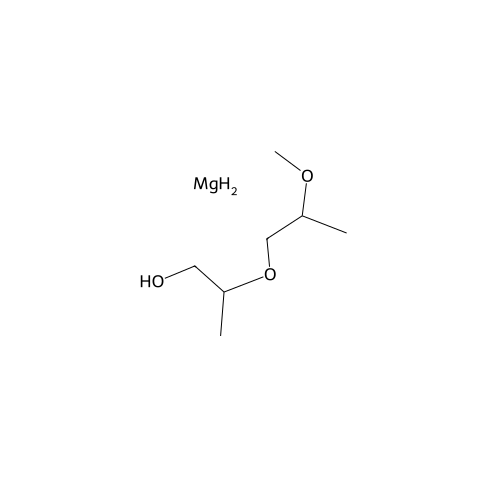 COC(C)COC(C)CO.[MgH2]